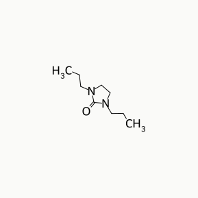 CCCN1CCN(CCC)C1=O